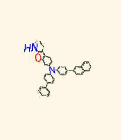 C1=Cc2c(oc3cc(N(c4ccc(-c5ccccc5)cc4)c4ccc(-c5ccc6ccccc6c5)cc4)ccc23)NC1